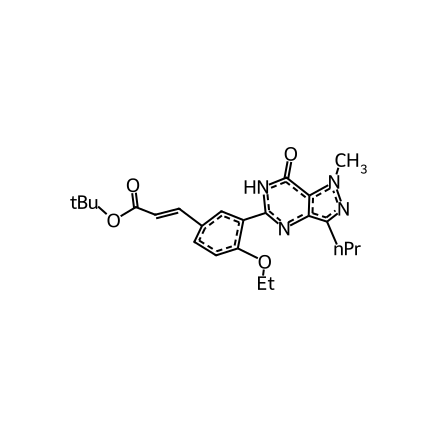 CCCc1nn(C)c2c(=O)[nH]c(-c3cc(/C=C/C(=O)OC(C)(C)C)ccc3OCC)nc12